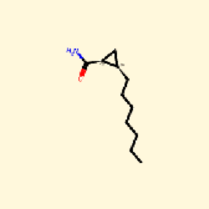 CCCCCCC[C@@H]1C[C@@H]1C(N)=O